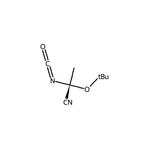 CC(C)(C)O[C@](C)(C#N)N=C=O